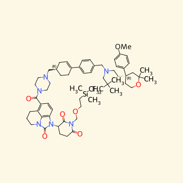 COc1ccc([C@]2(CCN(Cc3ccc(C4=CC[C@H](CN5CCN(C(=O)c6ccc7c8c6CCCn8c(=O)n7C6CCC(=O)N(COCC[Si](C)(C)C)C6=O)CC5)CC4)cc3)CC(C)(C)C(F)(F)F)CCOC(C)(C)C2)cc1